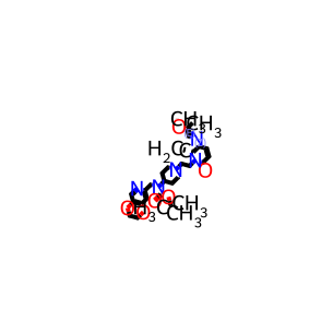 C=C=C1/C(=N\C=C(/C)OC)C=CC(=O)N1CCN1CCC(N(Cc2cc3c(cn2)OCCO3)C(=O)OC(C)(C)C)CC1